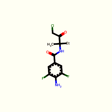 CCC(C)(NC(=O)c1cc(F)c(N)c(F)c1)C(=O)CCl